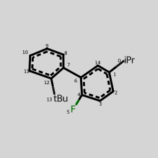 CC(C)c1ccc(F)c(-c2ccccc2C(C)(C)C)c1